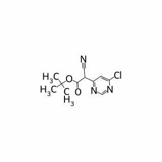 CC(C)(C)OC(=O)C(C#N)c1cc(Cl)ncn1